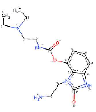 CCN(CC)CCNC(=O)Oc1cccc2[nH]c(=O)n(CCN)c12